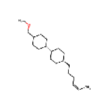 C/C=C\CCC[C@H]1CC[C@H](C2CCC(COC)CC2)CC1